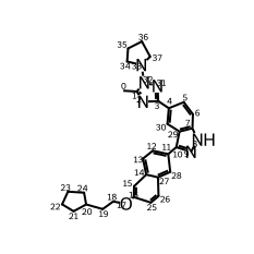 Cc1nc(-c2ccc3[nH]nc(-c4ccc5cc(OCCC6CCCC6)ccc5c4)c3c2)nn1N1CCCC1